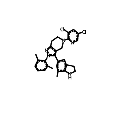 Cc1cc(-c2c3c(nn2-c2c(C)cccc2C)CCN(c2ncc(Cl)cc2Cl)C3)cc2c1NCC2